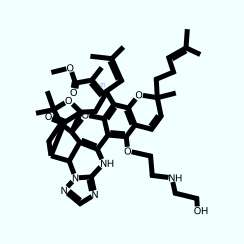 COC(=O)/C(C)=C\CC12OC(C)(C)C3CC(C1=O)C1C4=C(Nc5ncnn51)c1c(OCCNCCO)c5c(c(CC=C(C)C)c1OC432)OC(C)(CCC=C(C)C)C=C5